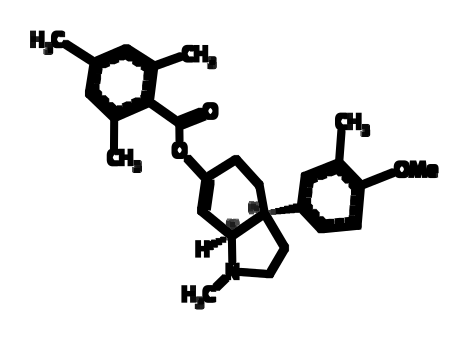 COc1ccc([C@@]23CCC(OC(=O)c4c(C)cc(C)cc4C)=C[C@@H]2N(C)CC3)cc1C